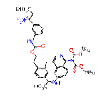 CCOC(=O)C[C@@H](N)c1cccc(NC(=O)OCCc2ccc(C(Nc3ccc4c(N(C(=O)OC(C)(C)C)C(=O)OC(C)(C)C)nccc4c3)C(=O)O)cc2C)c1